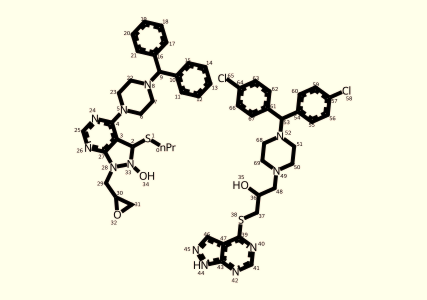 CCCSC1c2c(N3CCN(C(c4ccccc4)c4ccccc4)CC3)ncnc2N(CC2CO2)N1O.OC(CSc1ncnc2[nH]ncc12)CN1CCN(C(c2ccc(Cl)cc2)c2ccc(Cl)cc2)CC1